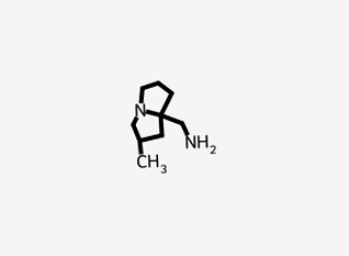 CC1CN2CCCC2(CN)C1